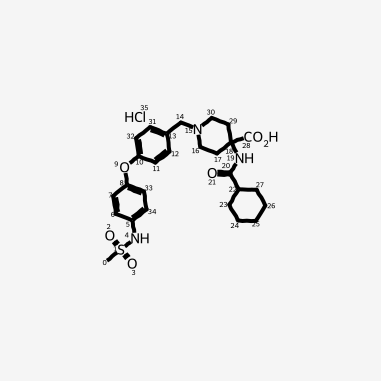 CS(=O)(=O)Nc1ccc(Oc2ccc(CN3CCC(NC(=O)C4CCCCC4)(C(=O)O)CC3)cc2)cc1.Cl